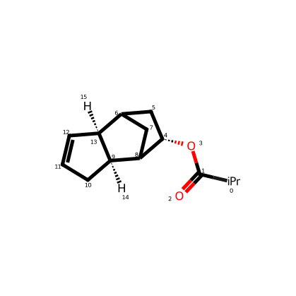 CC(C)C(=O)O[C@H]1CC2CC1[C@H]1CC=C[C@@H]21